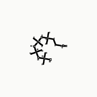 CCCCCCCCCCCC[Si](C)(C)O[Si](C)(C)O[Si](C)(C)O[Si](C)(C)Cl